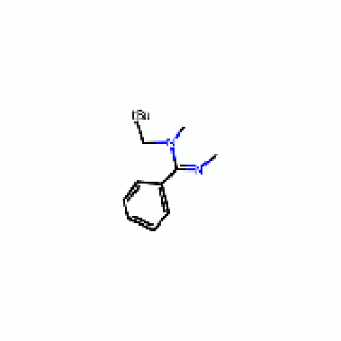 C/N=C(/c1ccccc1)N(C)CC(C)(C)C